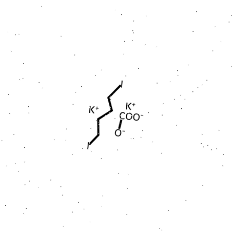 ICCCCI.O=C([O-])[O-].[K+].[K+]